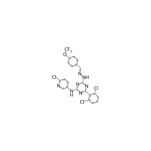 FC(F)(F)Oc1ccc(C=NNc2nc(Nc3ccc(Cl)nc3)nc(-c3c(Cl)cccc3Cl)n2)cc1